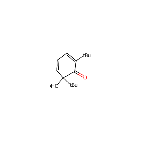 [CH]C1(C(C)(C)C)C=CC=C(C(C)(C)C)C1=O